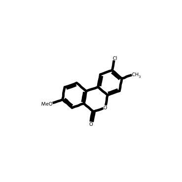 COc1ccc2c(c1)c(=O)oc1cc(C)c(Cl)cc12